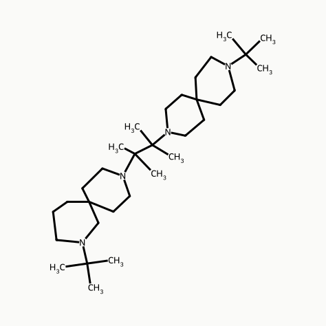 CC(C)(C)N1CCC2(CC1)CCN(C(C)(C)C(C)(C)N1CCC3(CCCN(C(C)(C)C)C3)CC1)CC2